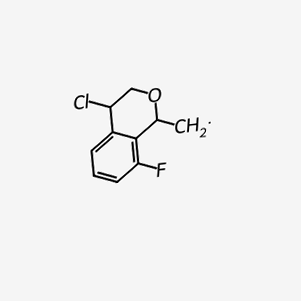 [CH2]C1OCC(Cl)c2cccc(F)c21